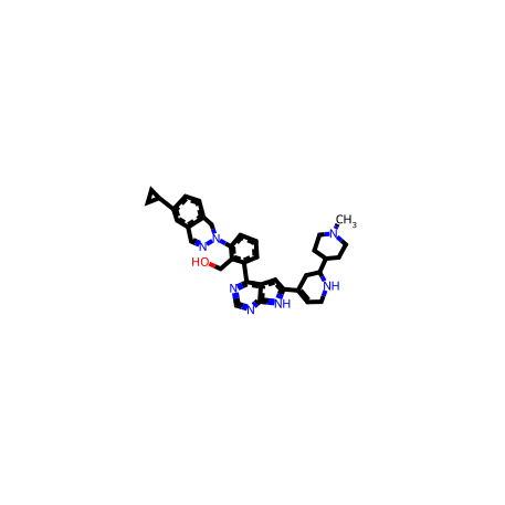 CN1CCC(C2CC(c3cc4c(-c5cccc(N6Cc7ccc(C8CC8)cc7C=N6)c5CO)ncnc4[nH]3)=CCN2)CC1